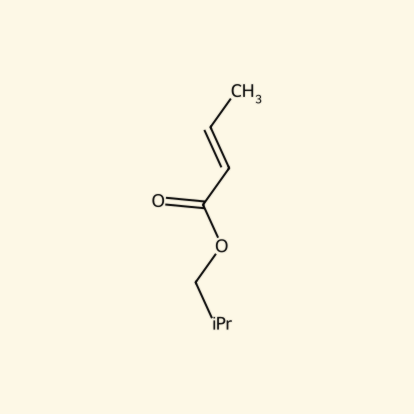 [CH2]C(C)COC(=O)C=CC